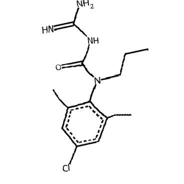 CCCN(C(=O)NC(=N)N)c1c(C)cc(Cl)cc1C